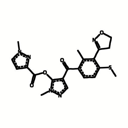 CSc1ccc(C(=O)c2cnn(C)c2OC(=O)c2ccn(C)n2)c(C)c1C1=NOCC1